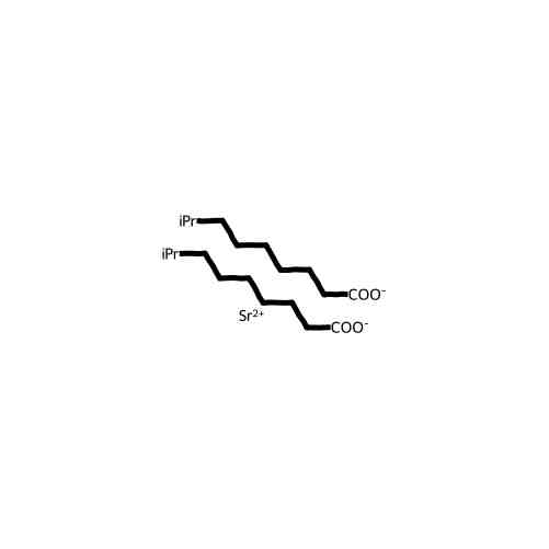 CC(C)CCCCCCC(=O)[O-].CC(C)CCCCCCC(=O)[O-].[Sr+2]